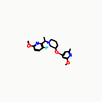 COc1cc(OC2CCCN(C(C)c3nc(OC)ccc3F)C2)cc(C)n1